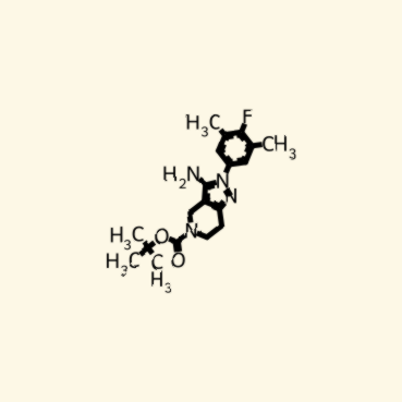 Cc1cc(-n2nc3c(c2N)CN(C(=O)OC(C)(C)C)CC3)cc(C)c1F